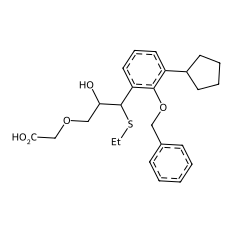 CCSC(c1cccc(C2CCCC2)c1OCc1ccccc1)C(O)COCC(=O)O